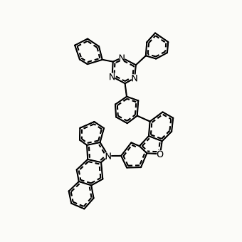 c1ccc(-c2nc(-c3ccccc3)nc(-c3cccc(-c4cccc5oc6ccc(-n7c8ccccc8c8cc9ccccc9cc87)cc6c45)c3)n2)cc1